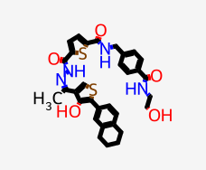 C/C(=N/NC(=O)c1ccc(C(=O)NCc2ccc(C(=O)NCCO)cc2)s1)c1csc(-c2ccc3c(c2)CCCC3)c1O